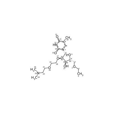 CCOC[C@H]1O[C@@H](n2cc(C)c(=O)[nH]c2=O)[C@H](OCCOCCN(C)C)[C@@H]1O